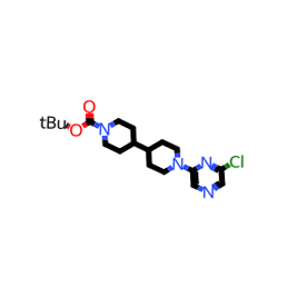 CC(C)(C)OC(=O)N1CCC(C2CCN(c3cncc(Cl)n3)CC2)CC1